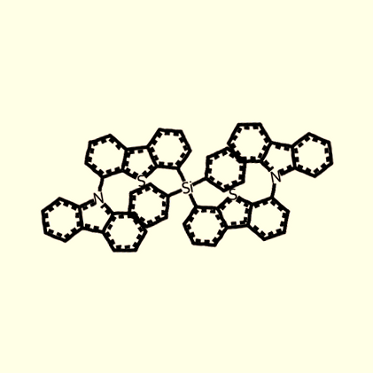 c1ccc([Si](c2ccccc2)(c2cccc3c2sc2c(-n4c5ccccc5c5ccccc54)cccc23)c2cccc3c2sc2c(-n4c5ccccc5c5ccccc54)cccc23)cc1